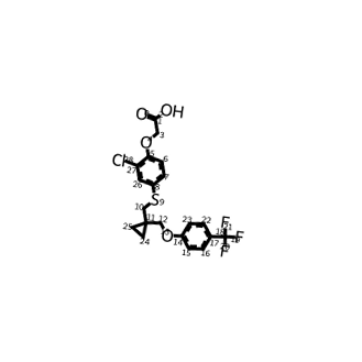 O=C(O)COc1ccc(SCC2(COc3ccc(C(F)(F)F)cc3)CC2)cc1Cl